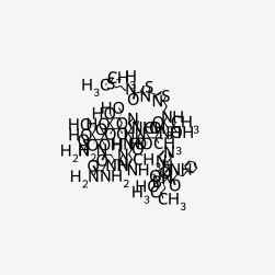 CC(C)C[C@H](NC(=O)[C@H](Cc1ccccc1)NC(=O)c1cnccn1)B(O)O.Cc1c(N)nc([C@H](CC(N)=O)NC[C@H](N)C(N)=O)nc1C(=O)N[C@H](C(=O)N[C@H](C)[C@@H](O)[C@H](C)C(=O)N[C@H](C(=O)NCCc1nc(-c2nc(C(=O)NCCC[S+](C)C)cs2)cs1)[C@@H](C)O)[C@@H](O[C@@H]1O[C@@H](CO)[C@H](O)[C@@H](O)[C@@H]1O[C@@H]1O[C@@H](CO)[C@H](O)[C@@H](OC(N)=O)[C@@H]1O)c1cnc[nH]1